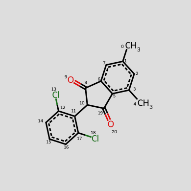 Cc1cc(C)c2c(c1)C(=O)C(c1c(Cl)cccc1Cl)C2=O